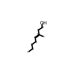 CCCC/C=C(\C)CCO